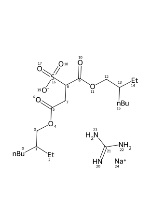 CCCCC(CC)COC(=O)CC(C(=O)OCC(CC)CCCC)S(=O)(=O)[O-].N=C(N)N.[Na+]